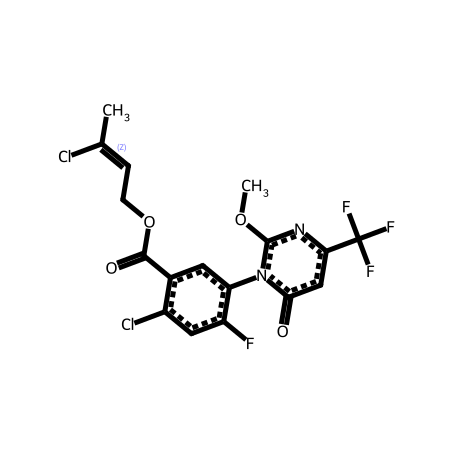 COc1nc(C(F)(F)F)cc(=O)n1-c1cc(C(=O)OC/C=C(/C)Cl)c(Cl)cc1F